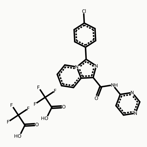 O=C(Nc1ccncn1)c1nc(-c2ccc(Cl)cc2)n2ccccc12.O=C(O)C(F)(F)F.O=C(O)C(F)(F)F